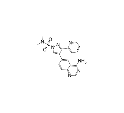 CN(C)S(=O)(=O)n1cc(-c2ccc3ncnc(N)c3c2)c(-c2ccccn2)n1